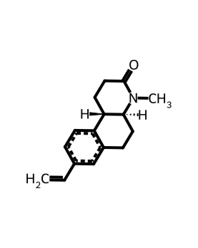 C=Cc1ccc2c(c1)CC[C@H]1[C@H]2CCC(=O)N1C